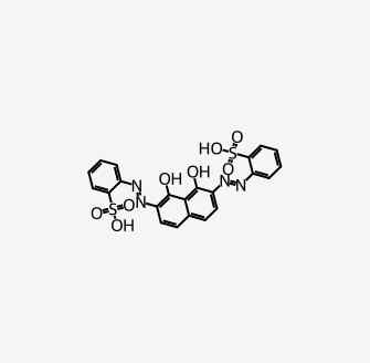 O=S(=O)(O)c1ccccc1N=Nc1ccc2ccc(N=Nc3ccccc3S(=O)(=O)O)c(O)c2c1O